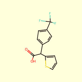 O=C(O)C(c1ccc(C(F)(F)F)cc1)c1cccs1